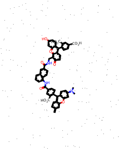 C=c1ccc2c(c1)Oc1cc(N(C)C)ccc1C=2c1ccc(C(=O)Nc2cccc3cc(C(=O)NCc4c5oc6cc(O)ccc6c(-c6ccc(C(=O)O)cc6C(=O)O)c-5ccc4=O)ccc23)cc1C(=O)O